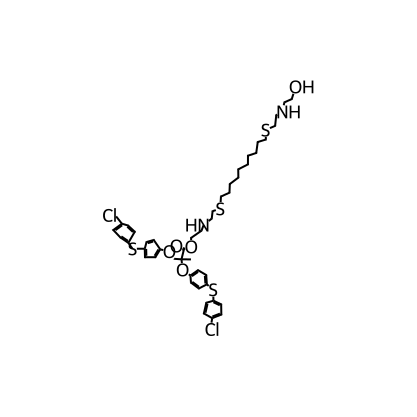 CC(COc1ccc(Sc2ccc(Cl)cc2)cc1)(Oc1ccc(Sc2ccc(Cl)cc2)cc1)C(=O)OCCNCCSCCCCCCCCCCSCCNCCO